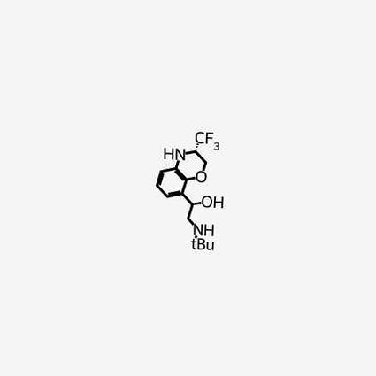 CC(C)(C)NC[C@H](O)c1cccc2c1OC[C@@H](C(F)(F)F)N2